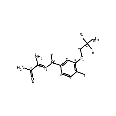 Cc1ccc(N(C)N=C(N)C(N)=O)cc1OCC(F)(F)C(F)(F)F